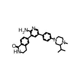 CC(C)C1CN(c2ccc(-c3cnc(N)c(-c4ccc5c(c4)CCNC5=O)c3)cc2)CCN1C